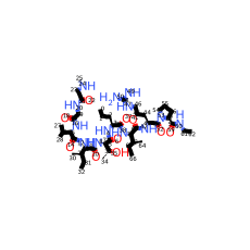 CCC[C@H](NC(=O)[C@@H](NC(=O)[C@H](NC(=O)[C@@H](NC(=O)CNC(=O)CNC)C(C)C)[C@H](C)CC)[C@@H](C)O)C(=O)N[C@H](C(=O)N[C@@H](CCCNC(=N)N)C(=O)N1CCC[C@H]1C(=O)NCC)[C@@H](C)CC